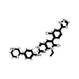 CCn1c(=O)c(-c2ccc(-c3nnco3)cc2Cl)cc2cnc(Nc3ccc(C4CNCCO4)cc3)nc21